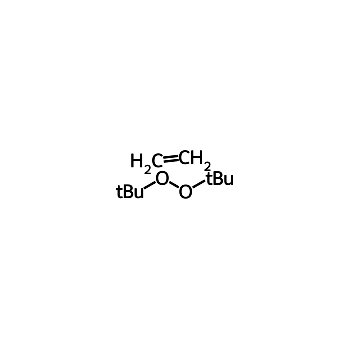 C=C.CC(C)(C)OOC(C)(C)C